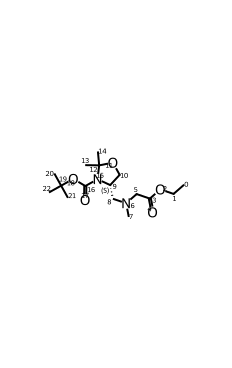 CCOC(=O)CN(C)C[C@H]1COC(C)(C)N1C(=O)OC(C)(C)C